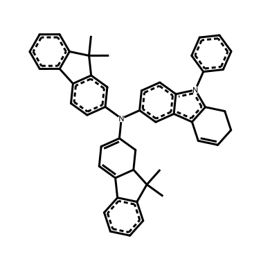 CC1(C)c2ccccc2-c2ccc(N(C3=CC=C4c5ccccc5C(C)(C)C4C3)c3ccc4c(c3)c3c(n4-c4ccccc4)CCC=C3)cc21